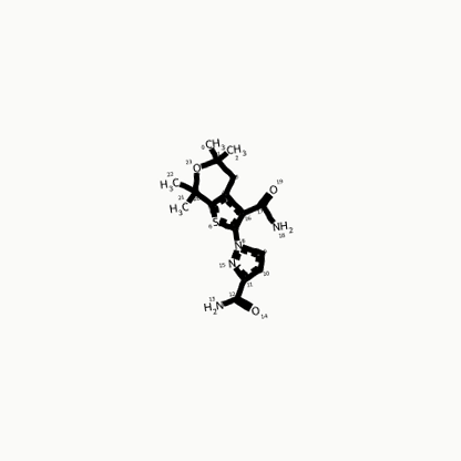 CC1(C)Cc2c(sc(-n3ccc(C(N)=O)n3)c2C(N)=O)C(C)(C)O1